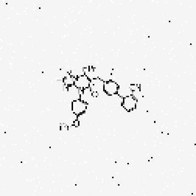 CCCc1c(Cc2ccc(-c3ccccc3C#N)cc2)c(=O)n(-c2ccc(OC(C)C)cc2)c2nc(C)nn12